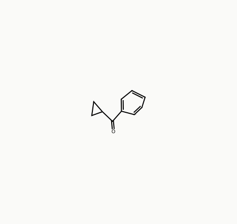 O=C(c1[c]cccc1)C1CC1